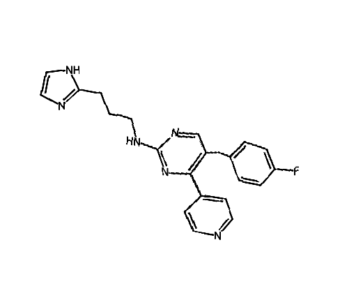 Fc1ccc(-c2cnc(NCCCc3ncc[nH]3)nc2-c2ccncc2)cc1